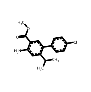 COC(=O)c1cc(-c2ccc(Cl)cc2)c(C(C)C)cc1N